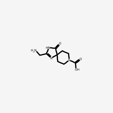 NCC1=NC2(CCN(C(=O)O)CC2)C(=O)N1